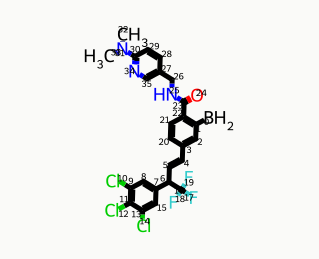 Bc1cc(/C=C/C(c2cc(Cl)c(Cl)c(Cl)c2)C(F)(F)F)ccc1C(=O)NCc1ccc(N(C)C)nc1